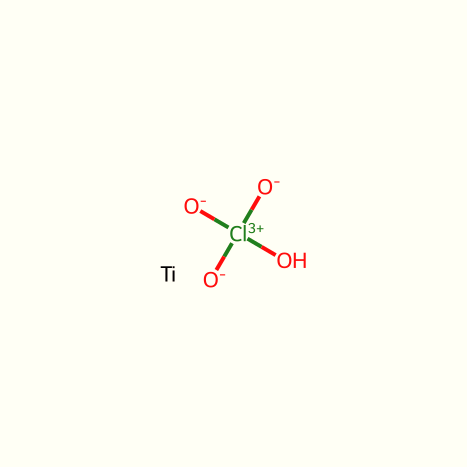 [O-][Cl+3]([O-])([O-])O.[Ti]